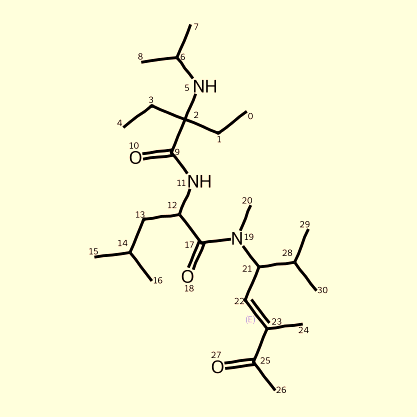 CCC(CC)(NC(C)C)C(=O)NC(CC(C)C)C(=O)N(C)C(/C=C(\C)C(C)=O)C(C)C